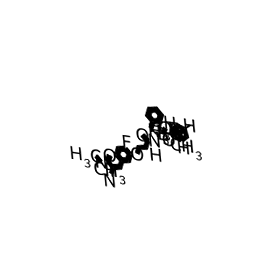 CN(C)C(=O)C(C#N)=Cc1ccc(F)c(OCCC(=O)N[C@@H](Cc2ccccc2)B2O[C@@H]3C[C@@H]4C[C@@H](C4(C)C)[C@]3(C)O2)c1